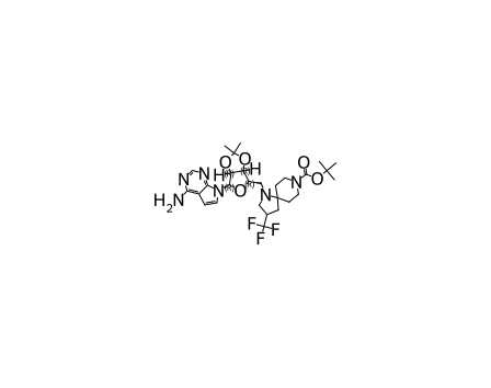 CC(C)(C)OC(=O)N1CCC2(CC1)CC(C(F)(F)F)CN2C[C@H]1O[C@@H](n2ccc3c(N)ncnc32)[C@@H]2OC(C)(C)O[C@@H]21